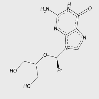 CC[C@@H](OC(CO)CO)n1cnc2c(=O)[nH]c(N)nc21